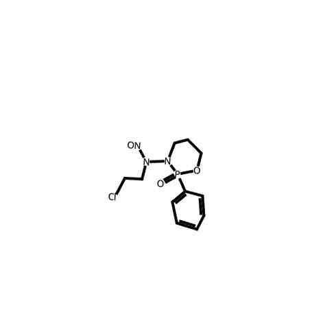 O=NN(CCCl)N1CCCOP1(=O)c1ccccc1